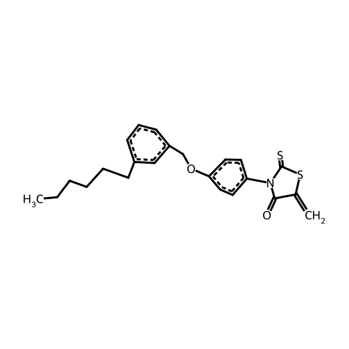 C=C1SC(=S)N(c2ccc(OCc3cccc(CCCCCC)c3)cc2)C1=O